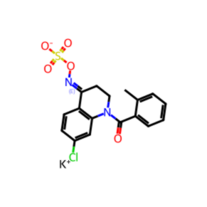 Cc1ccccc1C(=O)N1CC/C(=N\OS(=O)(=O)[O-])c2ccc(Cl)cc21.[K+]